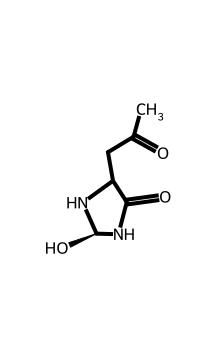 CC(=O)CC1N[C@H](O)NC1=O